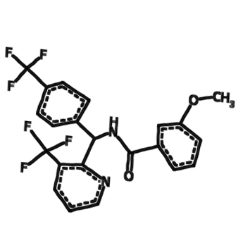 COc1cccc(C(=O)NC(c2ccc(C(F)(F)F)cc2)c2ncccc2C(F)(F)F)c1